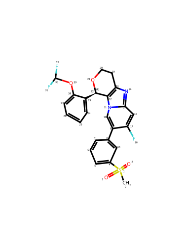 CS(=O)(=O)c1cccc(-c2cn3c4c(nc3cc2F)CCO[C@@H]4c2ccccc2OC(F)F)c1